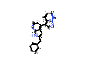 c1ccc(Cc2cc3c(-c4cnn5ncccc45)ccnc3[nH]2)cc1